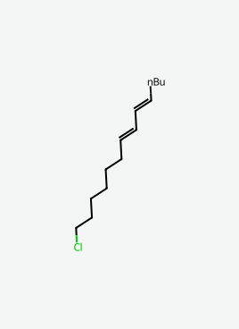 CCCCC=CC=CCCCCCCCl